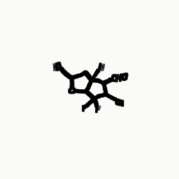 O=CC1C(O)C(F)(F)C2OC(O)C[C@H]12